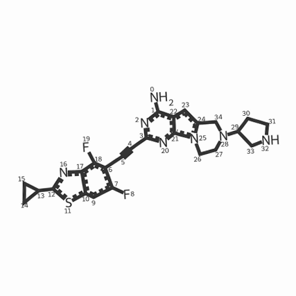 Nc1nc(C#Cc2c(F)cc3sc(C4CC4)nc3c2F)nc2c1cc1n2CCN(C2CCNC2)C1